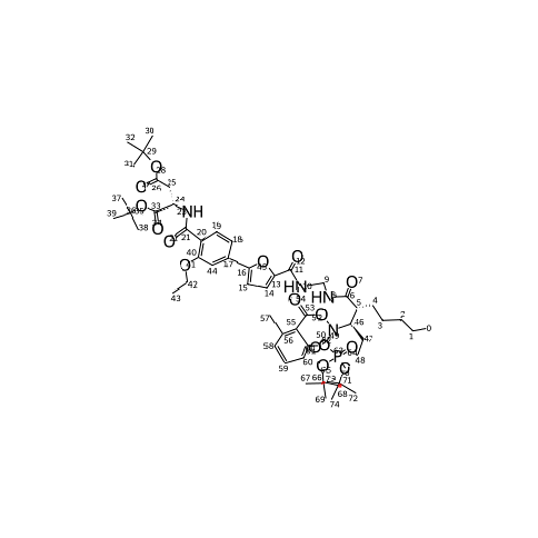 CCCCC[C@@H](C(=O)NCNC(=O)c1ccc(-c2ccc(C(=O)N[C@@H](CC(=O)OC(C)(C)C)C(=O)OC(C)(C)C)c(OCC)c2)o1)[C@@H](CC)N(C=O)OC(=O)c1c(C)cccc1OP(=O)(OC(C)(C)C)OC(C)(C)C